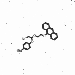 CCC(C)c1ccc(OC(CC#N)OCCOc2c3ccccc3cc3ccccc23)cc1